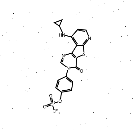 O=c1c2sc3nccc(NC4CC4)c3c2ncn1-c1ccc(OS(=O)(=O)C(F)(F)F)cc1